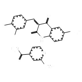 COc1cc(C(N)=O)ccn1.O=C1Nc2ccc(C(=O)O)cc2C(=O)/C1=C/c1ccc(Cl)c(F)c1